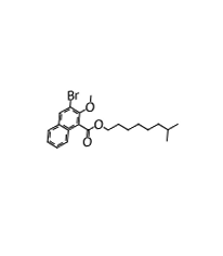 COc1c(Br)cc2ccccc2c1C(=O)OCCCCCCC(C)C